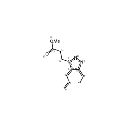 C=C/C=c1\c(=C/C)nnn1CCC(=O)OC